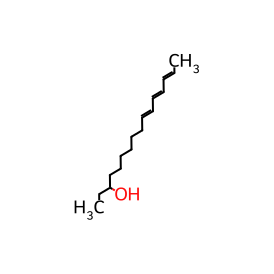 CC=CC=CC=CCCCCCCC(O)CC